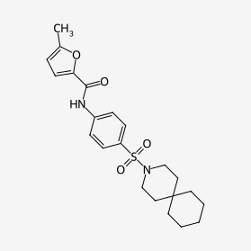 Cc1ccc(C(=O)Nc2ccc(S(=O)(=O)N3CCC4(CCCCC4)CC3)cc2)o1